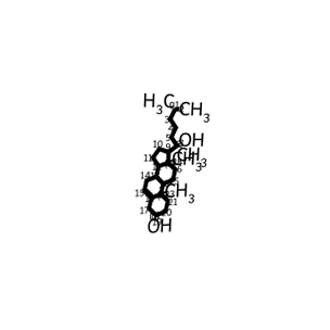 CC(C)CCCC(C)(O)C1CCC2C3CC=C4C[C@@H](O)CC[C@]4(C)C3CC[C@@]21C